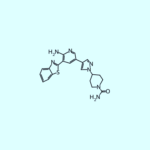 NC(=O)N1CCC(n2cc(-c3cnc(N)c(-c4nc5ccccc5s4)c3)cn2)CC1